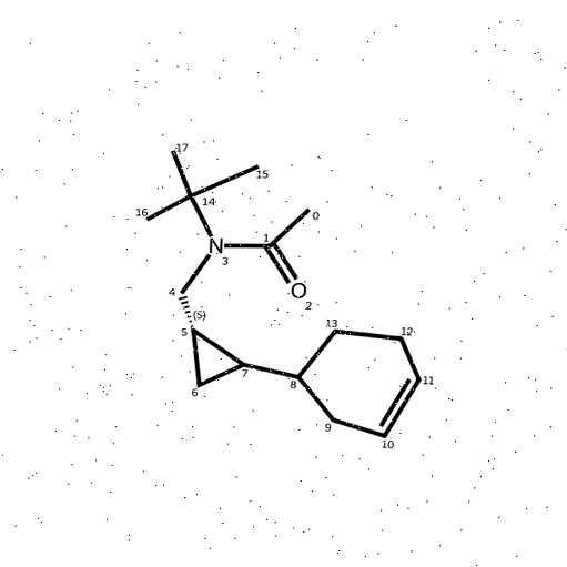 CC(=O)N(C[C@H]1CC1C1CC=CCC1)C(C)(C)C